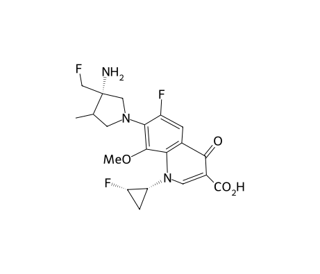 COc1c(N2CC(C)[C@@](N)(CF)C2)c(F)cc2c(=O)c(C(=O)O)cn([C@@H]3C[C@@H]3F)c12